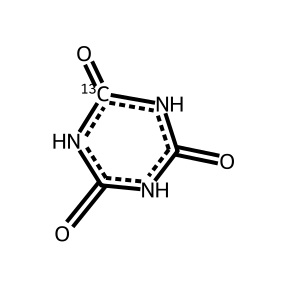 O=c1[nH]c(=O)[nH][13c](=O)[nH]1